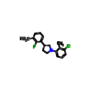 Cc1c(Cl)cccc1N1CCC(c2cccc(C(=O)O)c2F)C1